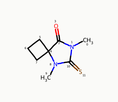 CN1C(=O)C2(CCC2)N(C)C1=S